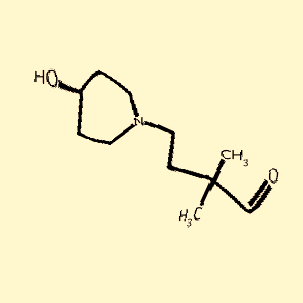 CC(C)(C=O)CCN1CCC(O)CC1